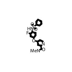 CNC(=O)c1cc(Oc2ccc(NS(=O)(=O)c3ccccc3)c(F)c2)ccn1